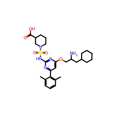 Cc1cccc(C)c1-c1cc(OCC(N)CC2CCCCC2)nc(NS(=O)(=O)N2CCCC(C(=O)O)C2)n1